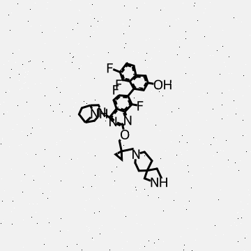 Oc1cc(-c2c(F)cc3c(N4CC5CCC(C4)N5)nc(OCC4(CN5CCC6(CCNC6)CC5)CC4)nc3c2F)c2c(F)c(F)ccc2c1